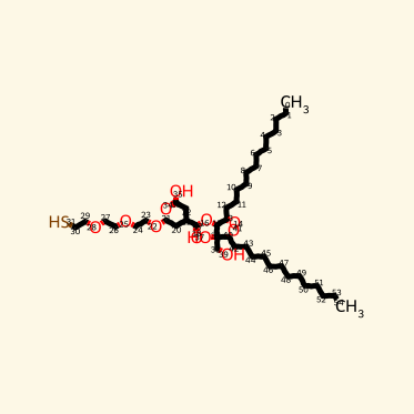 CCCCCCCCCCCCCC(=O)C(OC(=O)C(CCOCCOCCOCCS)CC(=O)O)C(O)(CO)C(=O)CCCCCCCCCCCCC